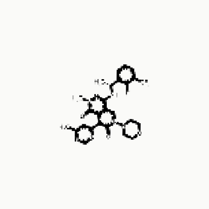 Cc1cc(-c2c(=O)n(N3CCOCC3)cc3c(N[C@H](C)c4cccc(C(F)(F)F)c4F)nn(C)c(=O)c23)ncn1